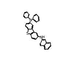 c1ccc(N(c2ccccc2)c2ccc3sc4ccc(Nc5ccc6ccccc6c5)cc4c3c2)cc1